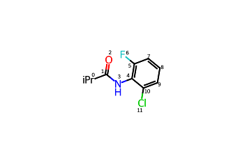 CC(C)C(=O)Nc1c(F)cccc1Cl